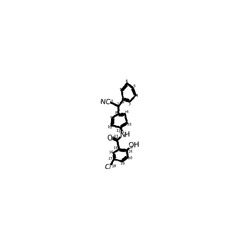 N#CC(c1ccccc1)c1ccc(NC(=O)c2cc(Cl)ccc2O)cc1